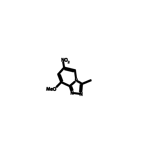 COc1cc([N+](=O)[O-])cn2c(C)nnc12